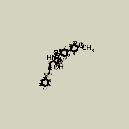 COc1ccc(-c2ccc(S(=O)(=O)NC(CC#CCSc3ccccc3)C(=O)O)cc2)cc1